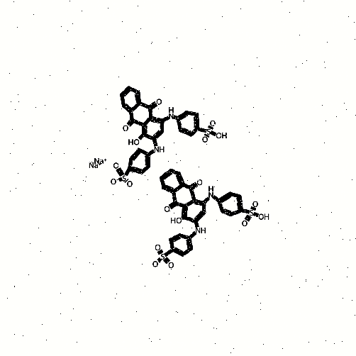 O=C1c2ccccc2C(=O)c2c(O)c(Nc3ccc(S(=O)(=O)[O-])cc3)cc(Nc3ccc(S(=O)(=O)O)cc3)c21.O=C1c2ccccc2C(=O)c2c(O)c(Nc3ccc(S(=O)(=O)[O-])cc3)cc(Nc3ccc(S(=O)(=O)O)cc3)c21.[Na+].[Na+]